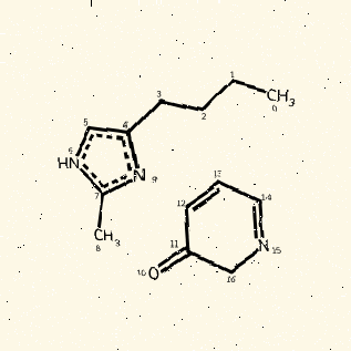 CCCCc1c[nH]c(C)n1.O=C1C=CC=NC1